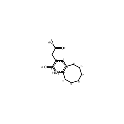 O=C(O)Cc1cc2c([nH]c1=O)CCCCCC2